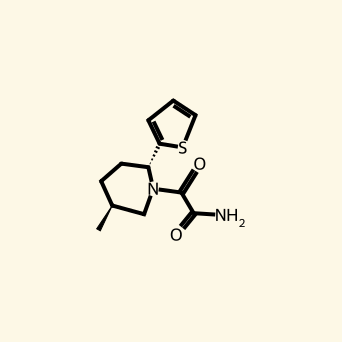 C[C@H]1CC[C@H](c2cccs2)N(C(=O)C(N)=O)C1